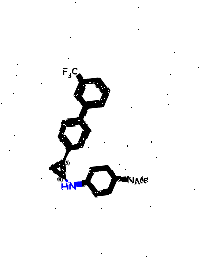 CNC1CCC(N[C@@H]2C[C@H]2c2ccc(-c3cccc(C(F)(F)F)c3)cc2)CC1